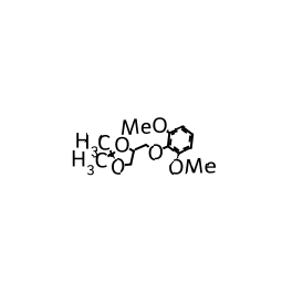 COc1cccc(OC)c1OCC1COC(C)(C)O1